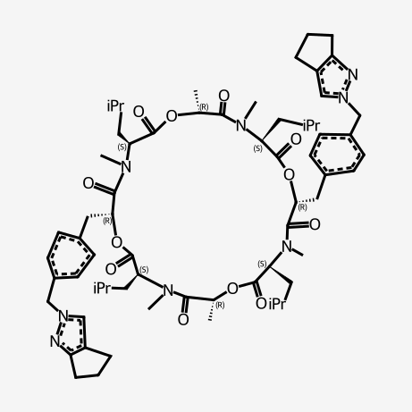 CC(C)C[C@H]1C(=O)O[C@H](Cc2ccc(Cn3cc4c(n3)CCC4)cc2)C(=O)N(C)[C@@H](CC(C)C)C(=O)O[C@H](C)C(=O)N(C)[C@@H](CC(C)C)C(=O)O[C@H](Cc2ccc(Cn3cc4c(n3)CCC4)cc2)C(=O)N(C)[C@@H](CC(C)C)C(=O)O[C@H](C)C(=O)N1C